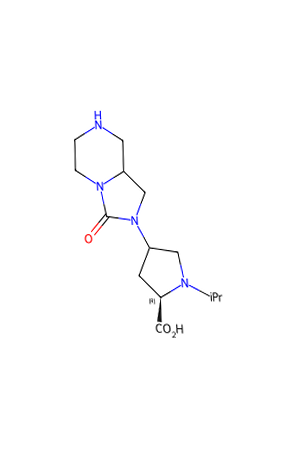 CC(C)N1CC(N2CC3CNCCN3C2=O)C[C@@H]1C(=O)O